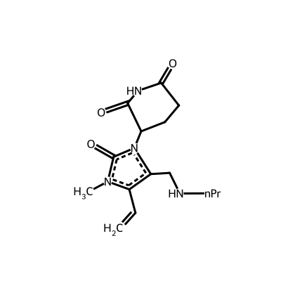 C=Cc1c(CNCCC)n(C2CCC(=O)NC2=O)c(=O)n1C